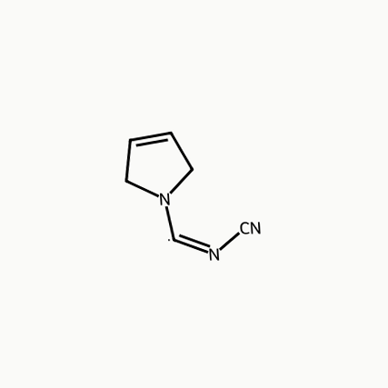 N#C/N=[C]\N1CC=CC1